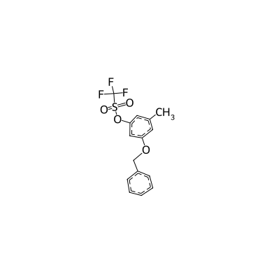 Cc1cc(OCc2ccccc2)cc(OS(=O)(=O)C(F)(F)F)c1